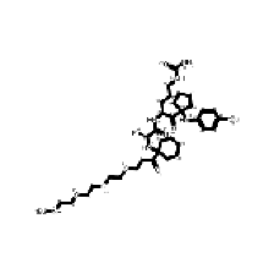 CC(C)[C@H](NC1(C(=O)CCOCCOCCOCCNC(C)(C)C)CCCCC1)C(=O)N[C@@H](CCCNC(N)=O)C(=O)C1(Nc2ccc(C(C)(C)C)cc2)CCCC1